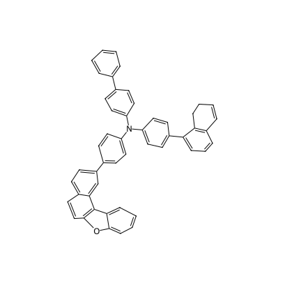 C1=Cc2cccc(-c3ccc(N(c4ccc(-c5ccccc5)cc4)c4ccc(-c5ccc6ccc7oc8ccccc8c7c6c5)cc4)cc3)c2CC1